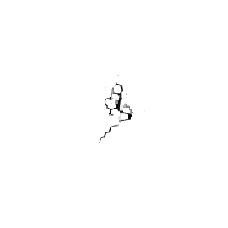 CCC/C=C/C=C/C[C@@H]1C[C@H](O)[C@H]2[C@@H]3/C(C)=C/[C@H]4C=C[C@@H](O)[C@@H](O)[C@@H]4/C(C)=C/C=C\[C@@H]3C(=O)N12